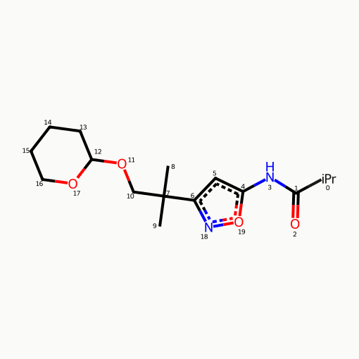 CC(C)C(=O)Nc1cc(C(C)(C)COC2CCCCO2)no1